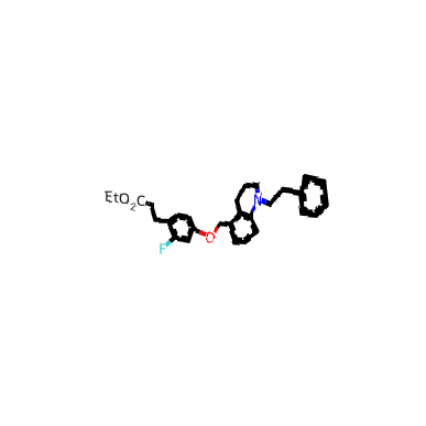 CCOC(=O)CCc1ccc(OCc2cccc3c2CCCN3CCc2ccccc2)cc1F